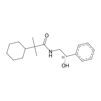 CC(C)(C(=O)NC[C@@H](O)c1ccccc1)C1CCCCC1